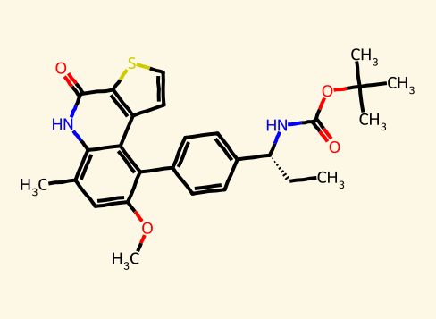 CC[C@@H](NC(=O)OC(C)(C)C)c1ccc(-c2c(OC)cc(C)c3[nH]c(=O)c4sccc4c23)cc1